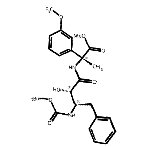 COC(=O)[C@](C)(NC(=O)[C@@H](O)[C@@H](Cc1ccccc1)NC(=O)OC(C)(C)C)c1cccc(OC(F)(F)F)c1